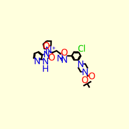 CC(C)(C)OC(=O)N1CCN(c2cc(Cl)cc(-c3nnc(CC(=O)[N+]4(N5CNc6ncccc65)CCC5CC4O5)o3)c2)CC1